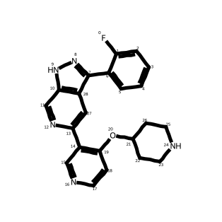 Fc1ccccc1-c1n[nH]c2cnc(-c3cnccc3OC3CCNCC3)cc12